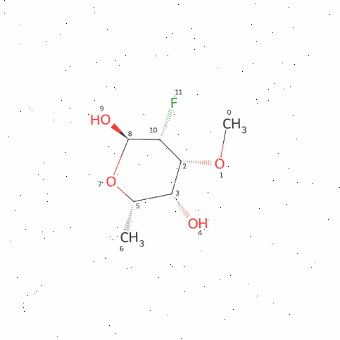 CO[C@@H]1[C@H](O)[C@H](C)O[C@@H](O)[C@@H]1F